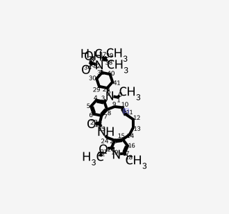 CCN(c1cccc2c1C/C=C/CCCc1cc(C)nc(OC)c1CNC2=O)[C@H]1CC[C@H](N(C(=O)O)C(C)(C)C)CC1